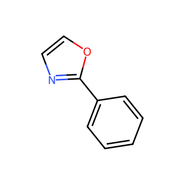 c1ccc(-c2ncco2)cc1